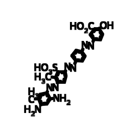 Cc1cc(/N=N/c2ccc(/N=N/c3ccc(/N=N/c4ccc(O)c(C(=O)O)c4)cc3)c(S(=O)(=O)O)c2C)c(N)cc1N